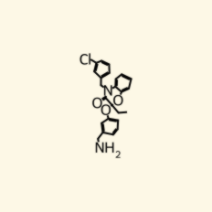 CCC1(Oc2cccc(CN)c2)Oc2ccccc2N(Cc2cccc(Cl)c2)C1=O